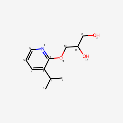 CC(C)c1cccnc1OCC(O)CO